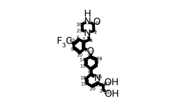 O=C1CN(Cc2cc(C(F)(F)F)ccc2Oc2ccc(-c3cccc([C@H](O)CO)n3)cc2)CCN1